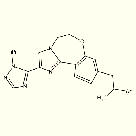 CC(=O)C(C)Cc1ccc2c(c1)OCCn1cc(-c3ncnn3C(C)C)nc1-2